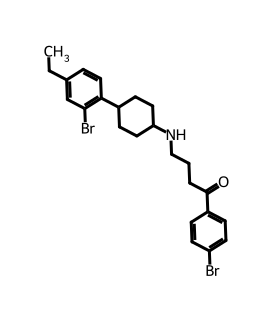 CCc1ccc(C2CCC(NCCCC(=O)c3ccc(Br)cc3)CC2)c(Br)c1